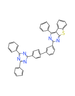 c1ccc(-c2nc(-c3ccccc3)nc(-c3ccc(-c4cccc(-c5nc(-c6ccccc6)c6c(n5)sc5ccccc56)c4)cc3)n2)cc1